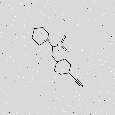 N#CC1CCN(CC(N2CC[CH]CC2)[SH](=O)=O)CC1